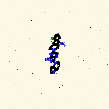 N[C@@H]1c2cccc(F)c2CC12CCN(c1cnc3c(N4CCCc5ncccc54)n[nH]c3n1)CC2